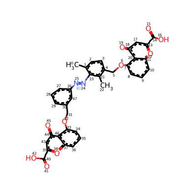 Cc1ccc(COc2cccc3oc(C(=O)O)cc(=O)c23)c(C)c1/N=N/c1cccc(COc2cccc3oc(C(=O)O)cc(=O)c23)c1